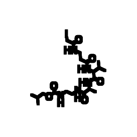 CC(C)COC(=O)NCCNC(=O)[C@H](C)NC(=O)C(NC(=O)CCNC(=O)CI)C(C)C